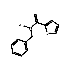 C=C(c1cccs1)N(Cc1ccccc1)C(C)=O